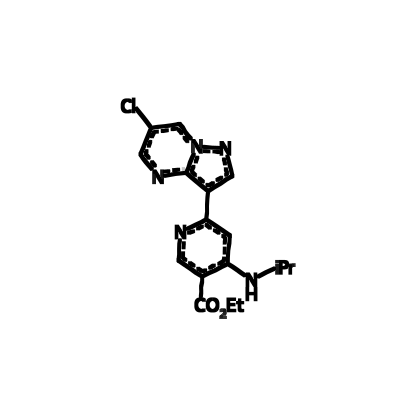 CCOC(=O)c1cnc(-c2cnn3cc(Cl)cnc23)cc1NC(C)C